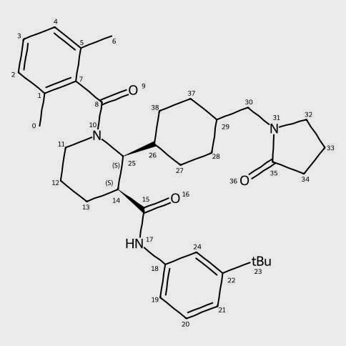 Cc1cccc(C)c1C(=O)N1CCC[C@H](C(=O)Nc2cccc(C(C)(C)C)c2)[C@@H]1C1CCC(CN2CCCC2=O)CC1